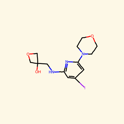 OC1(CNc2cc(I)cc(N3CCOCC3)n2)COC1